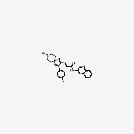 CC(=O)N1CCC2(CC1)N=C(/C=C/C(=O)Nc1cnc3ccccc3c1)C(c1ccc(C)cc1)=N2